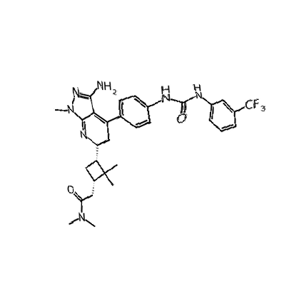 CN(C)C(=O)C[C@@H]1C[C@H](C2CC(c3ccc(NC(=O)Nc4cccc(C(F)(F)F)c4)cc3)=c3c(N)nn(C)c3=N2)C1(C)C